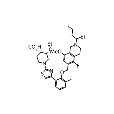 CCO[C@@H]1CN(c2nc(-c3cccc(C)c3OCc3cc(OC)c4c(c3F)CCN(C(CC)CCI)C4)cs2)CC[C@@H]1C(=O)O